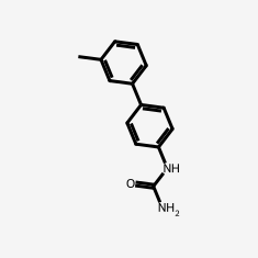 Cc1cccc(-c2ccc(NC(N)=O)cc2)c1